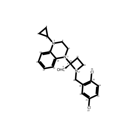 O=C[C@@]1(N2CCN(C3CC3)c3ccccc32)CCN1Cc1cc(Cl)ccc1Cl